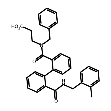 Cc1ccccc1CNC(=O)c1ccccc1-c1ccccc1C(=O)N(CCC(=O)O)Cc1ccccc1